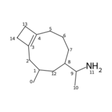 CC1CC2=C(CCCC(C(C)N)C1)CC2